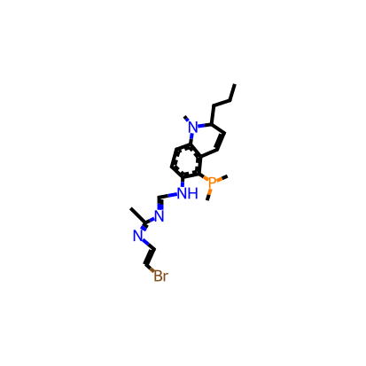 CCCC1C=Cc2c(ccc(N/C=N/C(C)=N\C=C\Br)c2P(C)C)N1C